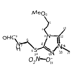 COCCn1c(SCNC=O)n[n+](C)c1C.O=[N+]([O-])[O-]